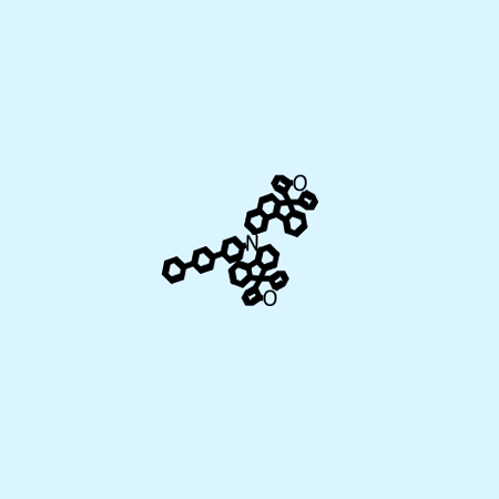 c1ccc(-c2ccc(-c3ccc(N(c4ccc5ccc6c(c5c4)-c4ccccc4C64c5ccccc5Oc5ccccc54)c4cccc5c4-c4ccccc4C54c5ccccc5Oc5ccccc54)cc3)cc2)cc1